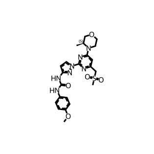 COc1ccc(NC(=O)Nc2ccn(-c3nc(CS(C)(=O)=O)cc(N4CCOC[C@@H]4C)n3)n2)cc1